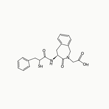 O=C(O)CN1Cc2ccccc2C[C@H](NC(=O)C(S)Cc2ccccc2)C1=O